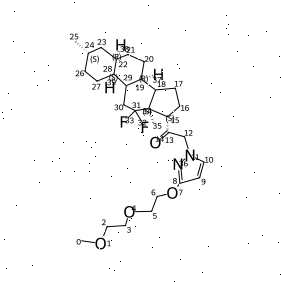 COCCOCCOc1ccn(CC(=O)[C@H]2CCC3[C@@H]4CC[C@@H]5C[C@@H](C)CC[C@@H]5C4CC(F)(F)[C@@]32C)n1